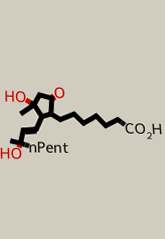 CCCCCC(C)(O)C=CC1C(CCCCCCC(=O)O)C(=O)CC1(C)O